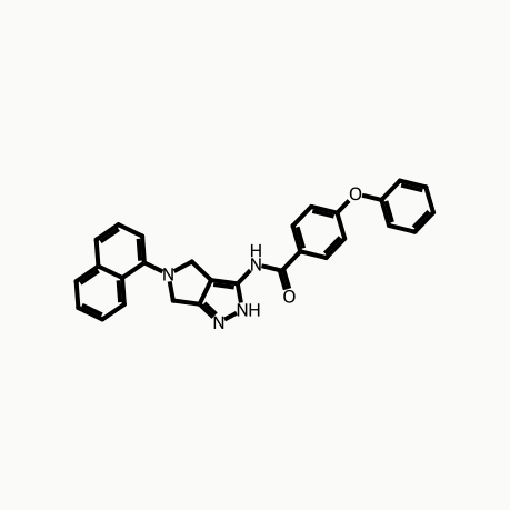 O=C(Nc1[nH]nc2c1CN(c1cccc3ccccc13)C2)c1ccc(Oc2ccccc2)cc1